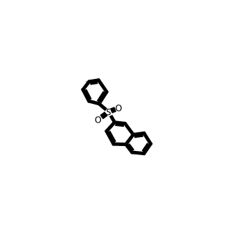 O=S(=O)(c1cc[c]cc1)c1ccc2ccccc2c1